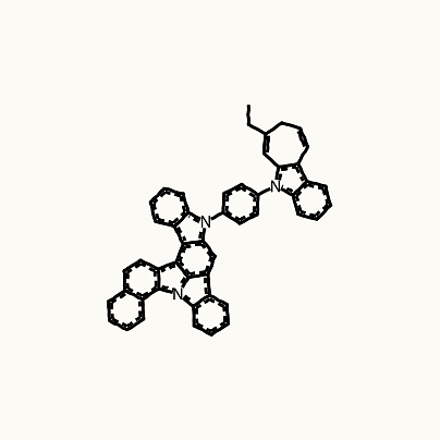 CCC1=Cc2c(c3ccccc3n2-c2ccc(-n3c4ccccc4c4c5c6ccc7ccccc7c6n6c7ccccc7c(cc43)c56)cc2)C=CC1